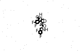 CN(C(=O)[C@H]1Cc2c(F)cc(F)cc2N1)[C@@H]1COCc2[nH]c(=O)c3cc(F)c(F)cc3c21